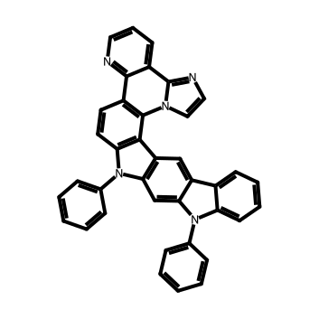 c1ccc(-n2c3ccccc3c3cc4c5c(ccc6c7ncccc7c7nccn7c65)n(-c5ccccc5)c4cc32)cc1